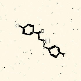 O=C(CNSc1ccc(F)cc1)c1ccc(Cl)cc1